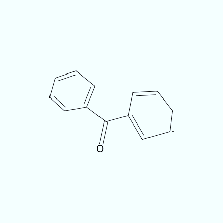 O=C(C1=C[CH]CC=C1)c1ccccc1